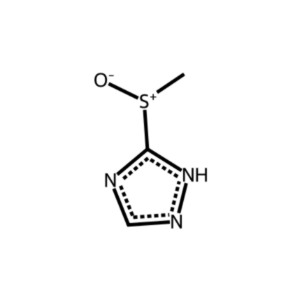 C[S+]([O-])c1ncn[nH]1